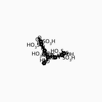 O=C(Nc1ccccc1)c1cc(C(=O)Nc2ccc(/N=N/c3cc(S(=O)(=O)O)c4cc(SO)cc(S(=O)(=O)O)c4c3)cc2C(=O)O)cc(C(=O)Nc2ccc(/N=N/c3cc(S(=O)(=O)O)c4cc([SH](=O)=O)cc(S(=O)(=O)O)c4c3)cc2C(=O)O)c1